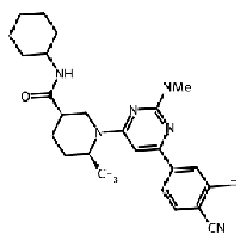 CNc1nc(-c2ccc(C#N)c(F)c2)cc(N2C[C@H](C(=O)NC3CCCCC3)CC[C@@H]2C(F)(F)F)n1